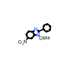 COn1c(-c2ccccc2)nc2ccc([N+](=O)[O-])cc21